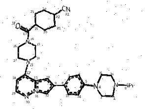 CC(C)N1CCN(c2ccc(-c3cc4c(N5CCN(C(=O)C6CCC(C#N)CC6)CC5)ccnn4c3)cc2)CC1